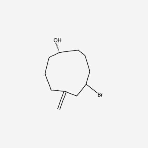 C=C1CCC[C@H](O)CCCC(Br)C1